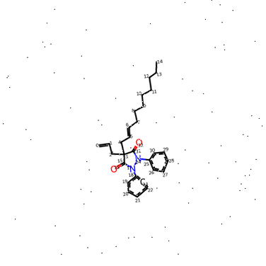 C=CCC1(CC=CCCCCCCCC)C(=O)N(c2ccccc2)N(c2ccccc2)C1=O